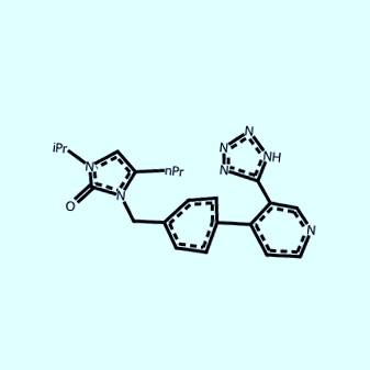 CCCc1cn(C(C)C)c(=O)n1Cc1ccc(-c2ccncc2-c2nnn[nH]2)cc1